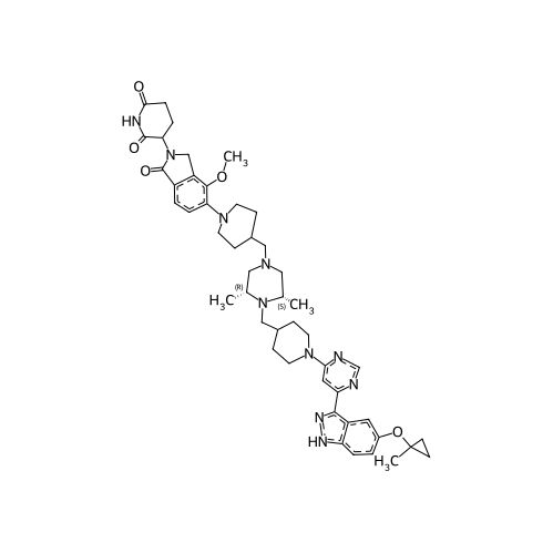 COc1c(N2CCC(CN3C[C@@H](C)N(CC4CCN(c5cc(-c6n[nH]c7ccc(OC8(C)CC8)cc67)ncn5)CC4)[C@@H](C)C3)CC2)ccc2c1CN(C1CCC(=O)NC1=O)C2=O